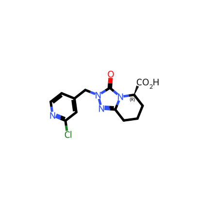 O=C(O)[C@H]1CCCc2nn(Cc3ccnc(Cl)c3)c(=O)n21